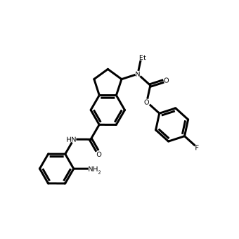 CCN(C(=O)Oc1ccc(F)cc1)C1CCc2cc(C(=O)Nc3ccccc3N)ccc21